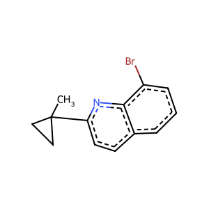 CC1(c2ccc3cccc(Br)c3n2)CC1